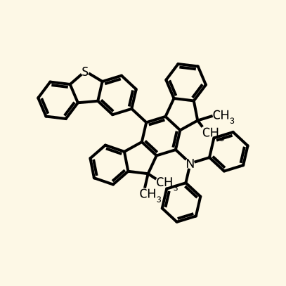 CC1(C)c2ccccc2-c2c(-c3ccc4sc5ccccc5c4c3)c3c(c(N(c4ccccc4)c4ccccc4)c21)C(C)(C)c1ccccc1-3